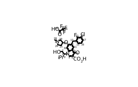 CC(C)[C@@H](CO)n1cc(C(=O)O)c(=O)c2cc(Cc3cccc(Cl)c3F)c(O[C@@H]3CCN(C)C3)cc21.O=C(O)C(F)(F)F